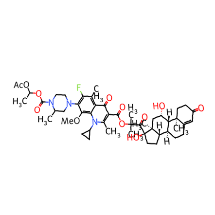 COc1c(N2CCN(C(=O)OC(C)OC(C)=O)C(C)C2)c(F)c(C)c2c(=O)c(C(=O)OC(C)(C)C(=O)[C@@]3(O)CC[C@H]4[C@@H]5CCC6=CC(=O)CC[C@]6(C)[C@H]5[C@@H](O)C[C@@]43C)c(C)n(C3CC3)c12